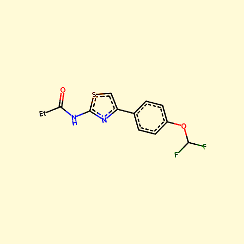 CCC(=O)Nc1nc(-c2ccc(OC(F)F)cc2)cs1